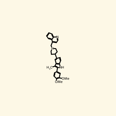 COc1ccc(-c2[nH]c3ccc(C4CCN(Cc5ccnc6ccccc56)CC4)cc3c2C)cc1OC